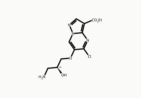 CCOC(=O)c1cnn2cc(OC[C@@H](O)CN)c(Cl)nc12